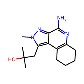 Cn1nc2c(N)nc3c(c2c1CC(C)(C)O)CCCC3